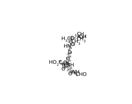 CC(C)(O)CCOC(C)(C)CC(=O)NCCOCCOCC(=O)NC(CCC(=O)NCC=O)C(=O)NCC(=O)O